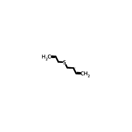 C=C[CH]CSCC=C